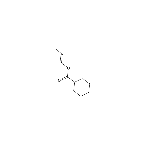 CN=COC(=O)C1CCCCC1